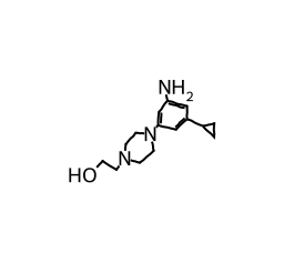 Nc1cc(C2CC2)cc(N2CCN(CCO)CC2)c1